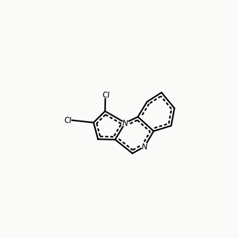 Clc1cc2cnc3ccccc3n2c1Cl